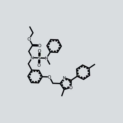 CCOC(=O)CN(Cc1cccc(OCc2nc(-c3ccc(C)cc3)oc2C)c1)S(=O)(=O)N(C)c1ccccc1